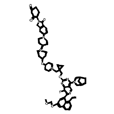 CCc1cccc2cc(OCOC)cc(-c3ncc4c(N5CC6CCC(C6)C5)nc(OCC5(CN6CCC(OC7CCN(C8CCN(c9ccc%10c(c9)CN(C9CCC(=O)CC9=O)C%10=O)CC8)CC7)CC6)CC5)nc4c3F)c12